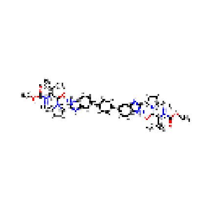 COC(=O)N[C@H](C(=O)N1[C@H](C)CC[C@H]1c1nc2cc(-c3ccc(-c4ccc5[nH]c([C@@H]6CC[C@@H](C)N6C(=O)[C@@H](NC(=O)OC)C(C)C)nc5c4)cc3)ccc2[nH]1)C(C)C